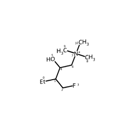 CCC(CF)C(O)C[N+](C)(C)C